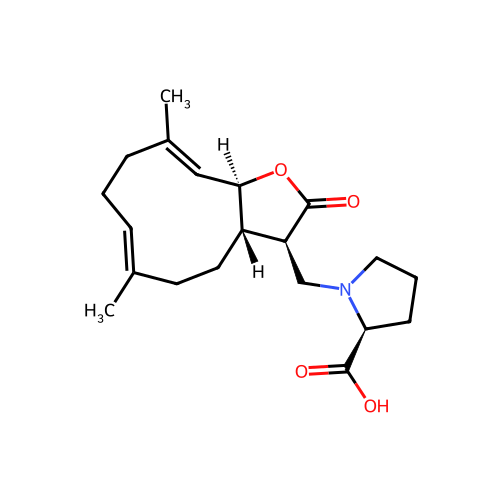 C/C1=C\[C@H]2OC(=O)[C@@H](CN3CCC[C@H]3C(=O)O)[C@@H]2CC/C(C)=C/CC1